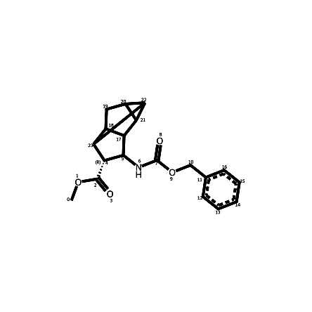 COC(=O)[C@H]1C(NC(=O)OCc2ccccc2)C2C3CC4C2C4C31